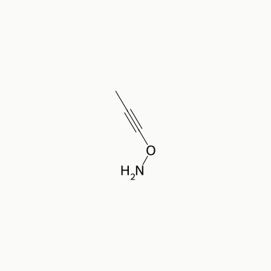 CC#CON